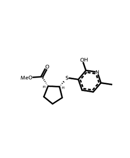 COC(=O)[C@H]1CCC[C@H]1Sc1ccc(C)nc1O